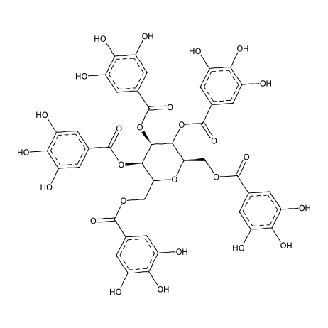 O=C(OCC1O[C@H](COC(=O)c2cc(O)c(O)c(O)c2)C(OC(=O)c2cc(O)c(O)c(O)c2)[C@H](OC(=O)c2cc(O)c(O)c(O)c2)[C@@H]1OC(=O)c1cc(O)c(O)c(O)c1)c1cc(O)c(O)c(O)c1